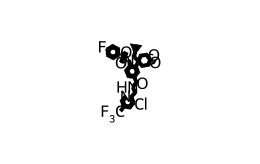 O=C(NCc1ncc(C(F)(F)F)cc1Cl)c1ccc2c(c1)C1(CCS(=O)(=O)CC1)C(C1CC1)N2S(=O)(=O)c1ccc(F)cc1